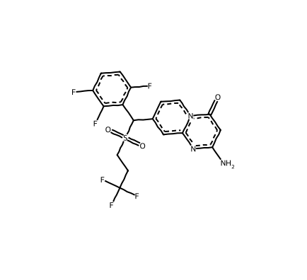 Nc1cc(=O)n2ccc(C(c3c(F)ccc(F)c3F)S(=O)(=O)CCC(F)(F)F)cc2n1